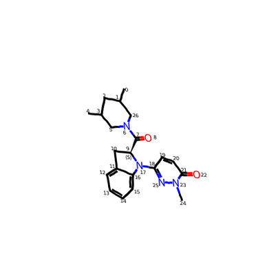 CC1CC(C)CN(C(=O)[C@@H]2Cc3ccccc3N2c2ccc(=O)n(C)n2)C1